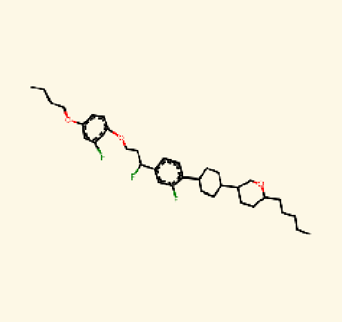 CCCCCC1CCC(C2CCC(c3ccc(C(F)CCOc4ccc(OCCCC)cc4F)cc3F)CC2)CO1